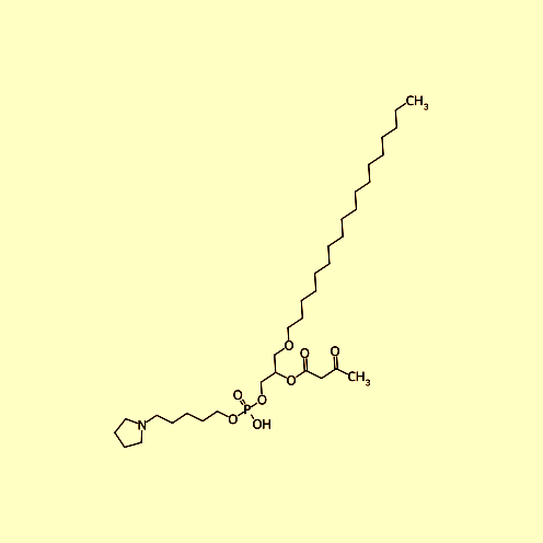 CCCCCCCCCCCCCCCCCCOCC(COP(=O)(O)OCCCCCN1CCCC1)OC(=O)CC(C)=O